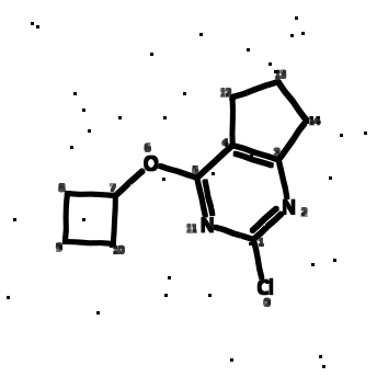 Clc1nc2c(c(OC3CCC3)n1)CCC2